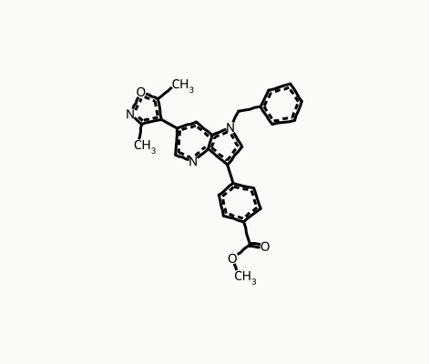 COC(=O)c1ccc(-c2cn(Cc3ccccc3)c3cc(-c4c(C)noc4C)cnc23)cc1